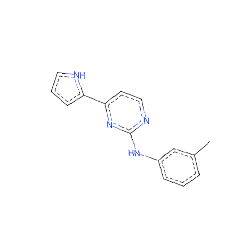 Cc1cccc(Nc2nccc(-c3ccc[nH]3)n2)c1